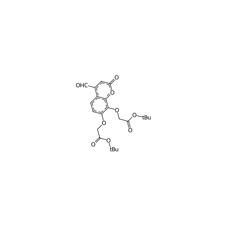 CC(C)(C)OC(=O)COc1ccc2c(C=O)cc(=O)oc2c1OCC(=O)OC(C)(C)C